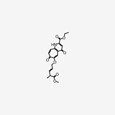 CCOC(=O)c1cc(=O)c2cc(OCC=CC(C)C(=O)OC)c(=O)ccc2[nH]1